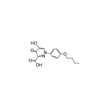 CCCCOc1ccc(-n2cc(O)c(=O)c(C(=O)O)n2)cc1